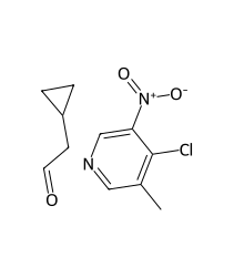 Cc1cncc([N+](=O)[O-])c1Cl.O=CCC1CC1